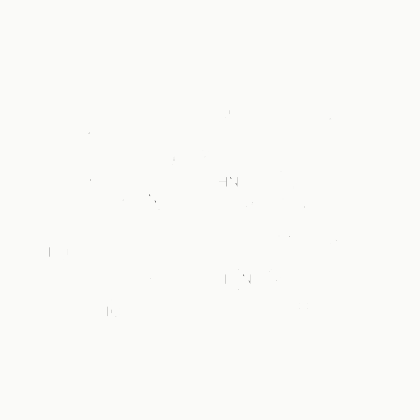 CC(CO)c1cccc(C(=O)NC23CC4CC(C2)CC(C(N)=O)(C4)C3)n1